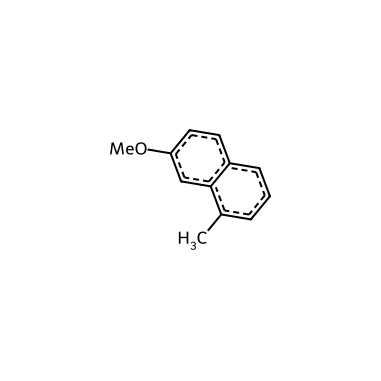 COc1ccc2cccc(C)c2c1